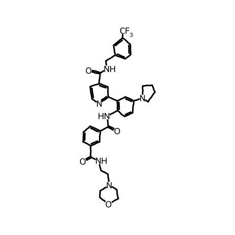 O=C(NCCN1CCOCC1)c1cccc(C(=O)Nc2ccc(N3CCCC3)cc2-c2cc(C(=O)NCc3cccc(C(F)(F)F)c3)ccn2)c1